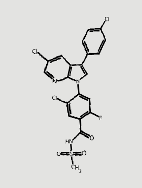 CS(=O)(=O)NC(=O)c1cc(Cl)c(-n2cc(-c3ccc(Cl)cc3)c3cc(Cl)cnc32)cc1F